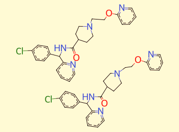 O=C(NC(c1ccc(Cl)cc1)c1ccccn1)C1CCN(CCOc2ccccn2)CC1.O=C(NC(c1ccc(Cl)cc1)c1ccccn1)C1CCN(CCOc2ccccn2)CC1